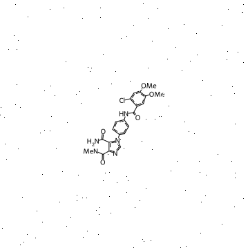 CNC(=O)c1ncn(-c2ccc(NC(=O)c3cc(OC)c(OC)cc3Cl)cc2)c1C(N)=O